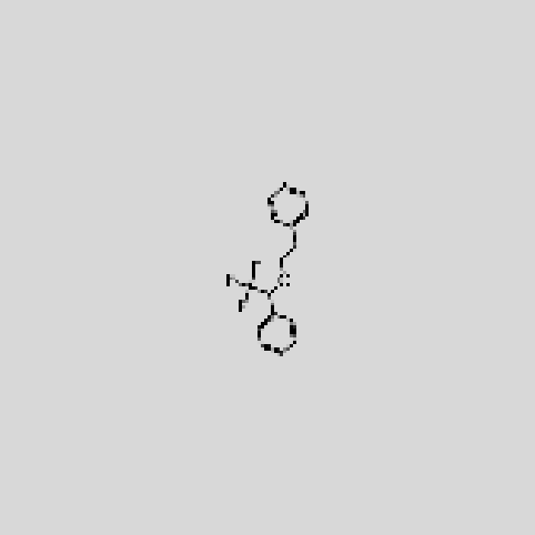 FC(F)(F)C(OCCc1cc[c]cc1)c1ccccc1